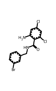 Nc1cc(Cl)cc(Cl)c1C(=O)NCc1cccc(Br)c1